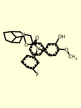 COc1ccc(N(C(=O)OCC2C3CCC2CN(Cc2ccccc2)C3)c2cccc(F)c2)cc1O